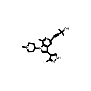 Cc1nc(C#CC(C)(C)O)cc2c(-c3c[nH]nc3Cl)cn(C3CCN(C)CC3)c12